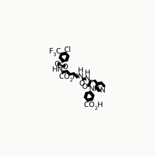 O=C(NCCCC[C@H](NS(=O)(=O)c1ccc(Cl)c(C(F)(F)F)c1)C(=O)O)N[C@@H](Cc1ccncc1)C(=O)Nc1ccc(C(=O)O)cc1